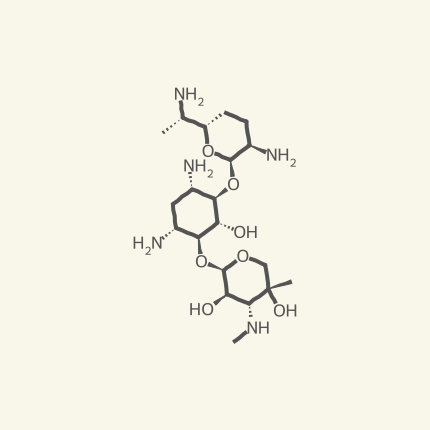 CN[C@@H]1[C@@H](O)[C@@H](O[C@@H]2[C@@H](O)[C@H](O[C@H]3O[C@H]([C@H](C)N)CC[C@H]3N)[C@@H](N)C[C@H]2N)OC[C@]1(C)O